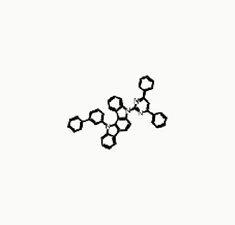 c1ccc(-c2cccc(-n3c4ccccc4c4ccc5c(c6ccccc6n5-c5nc(-c6ccccc6)cc(-c6ccccc6)n5)c43)c2)cc1